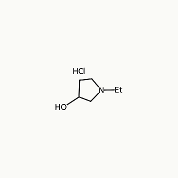 CCN1CCC(O)C1.Cl